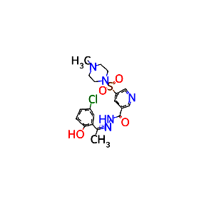 C/C(=N/NC(=O)c1cncc(S(=O)(=O)N2CCN(C)CC2)c1)c1cc(Cl)ccc1O